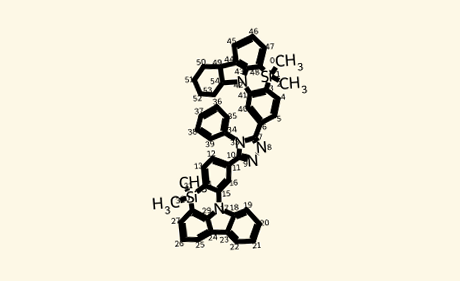 C[Si]1(C)c2ccc(-c3nnc(-c4ccc5c(c4)-n4c6ccccc6c6cccc(c64)[Si]5(C)C)n3-c3ccccc3)cc2N2c3c(cccc31)C1CCCCC12